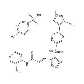 Cc1ccc(S(=O)(=O)O)cc1.Cc1n[nH]cc1-c1ccc(S(=O)(=O)c2[nH]ccc2/C=C/C(=O)Nc2ccccc2N)cc1